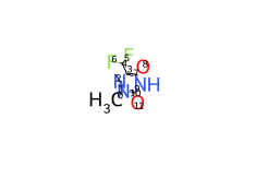 Cn1nc(C(F)F)c(=O)[nH]c1=O